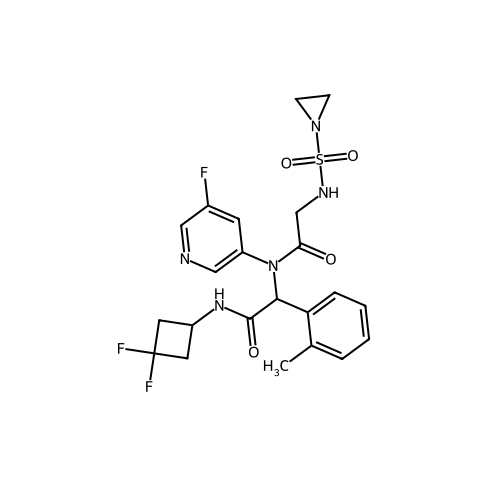 Cc1ccccc1C(C(=O)NC1CC(F)(F)C1)N(C(=O)CNS(=O)(=O)N1CC1)c1cncc(F)c1